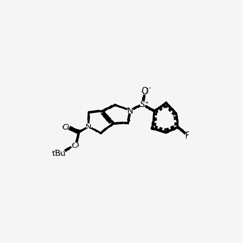 CC(C)(C)OC(=O)N1CC2=C(C1)CN([S+]([O-])c1ccc(F)cc1)C2